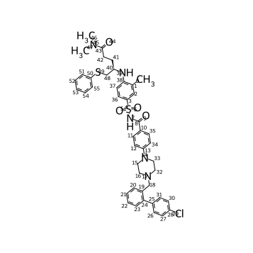 Cc1cc(S(=O)(=O)NC(=O)c2ccc(N3CCN(Cc4ccccc4-c4ccc(Cl)cc4)CC3)cc2)ccc1N[C@H](CCC(=O)N(C)C)CSc1ccccc1